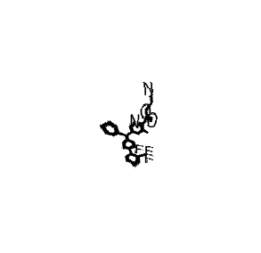 Cc1cc(C(c2ccccc2)c2ccc(-c3ccccc3C(F)(F)F)cc2)cnc1C(=O)OCC#N